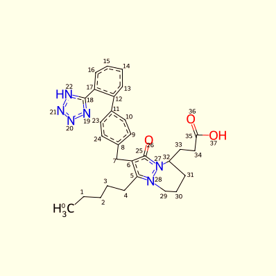 CCCCCc1c(Cc2ccc(-c3ccccc3-c3nnn[nH]3)cc2)c(=O)n2n1CCCC2CCC(=O)O